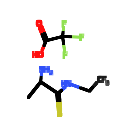 CC(N)C(=S)NCC(F)(F)F.O=C(O)C(F)(F)F